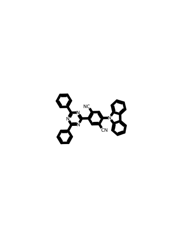 N#Cc1cc(-n2c3ccccc3c3ccccc32)c(C#N)cc1-c1nc(-c2ccccc2)nc(-c2ccccc2)n1